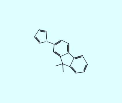 CC1(C)c2ccccc2-c2ccc(-n3cccc3)cc21